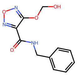 O=C(NCc1ccccc1)c1nonc1OCO